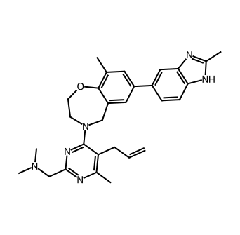 C=CCc1c(C)nc(CN(C)C)nc1N1CCOc2c(C)cc(-c3ccc4[nH]c(C)nc4c3)cc2C1